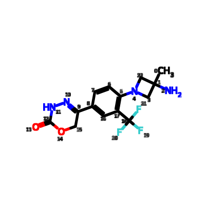 CC1(N)CN(c2ccc(C3=NNC(=O)OC3)cc2C(F)(F)F)C1